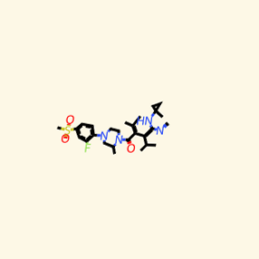 C=N/C(NC1(C)CC1)=C(/C(C(=O)N1CCN(c2ccc(S(C)(=O)=O)cc2F)CC1C)=C(C)C)C(C)C